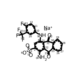 Nc1c(S(=O)(=O)[O-])cc(Nc2ccc(F)c(C(F)(F)F)c2)c2c1C(=O)c1ccccc1C2=O.[Na+]